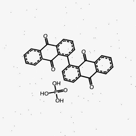 O=C1c2ccccc2C(=O)c2c1cccc2-c1cccc2c1C(=O)c1ccccc1C2=O.O=P(O)(O)O